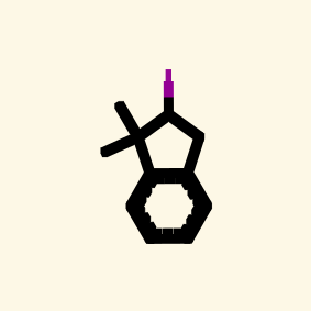 CC1(C)c2ccccc2CC1I